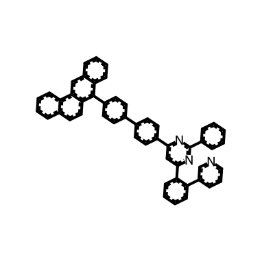 c1ccc(-c2nc(-c3ccc(-c4ccc(-c5c6ccccc6cc6c5ccc5ccccc56)cc4)cc3)cc(-c3ccccc3-c3cccnc3)n2)cc1